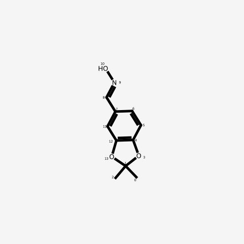 CC1(C)Oc2ccc(C=NO)cc2O1